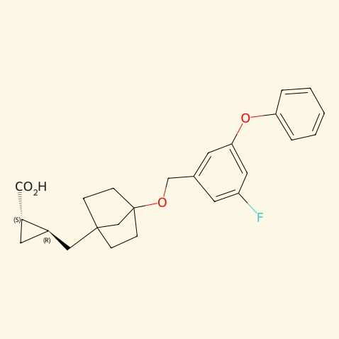 O=C(O)[C@H]1C[C@@H]1CC12CCC(OCc3cc(F)cc(Oc4ccccc4)c3)(CC1)C2